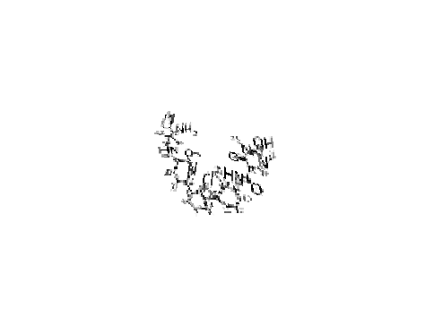 COc1nc(-c2cccc(-c3cccc(NC(=O)C4=CN(C)C(O)N(C)C4=O)c3C)c2Cl)ccc1CNCC(C)(C)C(N)=O